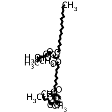 CCCCCCCCCCCCCCCCCOCC(COP(=O)(O)OCC[N+](C)(C)C)OC(=O)CCCCCCCCC(=O)O[C@@H]1CC[C@]2(CO2)[C@@H]([C@@]2(C)OC2CC=C(C)C)[C@@H]1OC